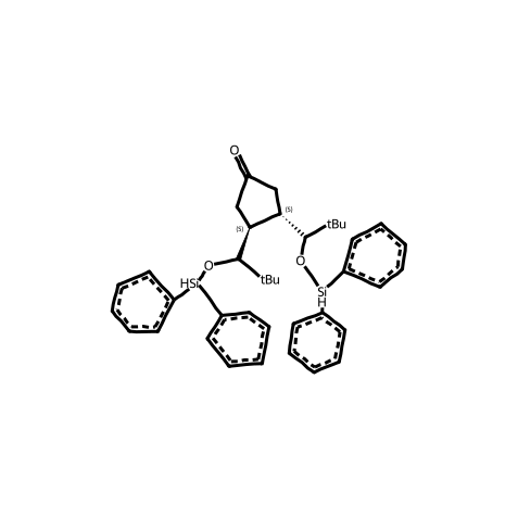 CC(C)(C)C(O[SiH](c1ccccc1)c1ccccc1)[C@H]1CC(=O)C[C@@H]1C(O[SiH](c1ccccc1)c1ccccc1)C(C)(C)C